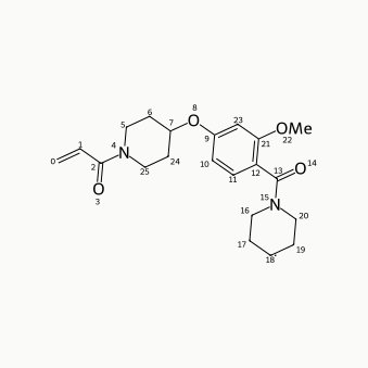 C=CC(=O)N1CCC(Oc2ccc(C(=O)N3CC[CH]CC3)c(OC)c2)CC1